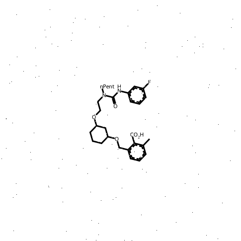 CCCCCN(CCOC1CCCC(OCc2cccc(C)c2C(=O)O)C1)C(=O)Nc1cccc(F)c1